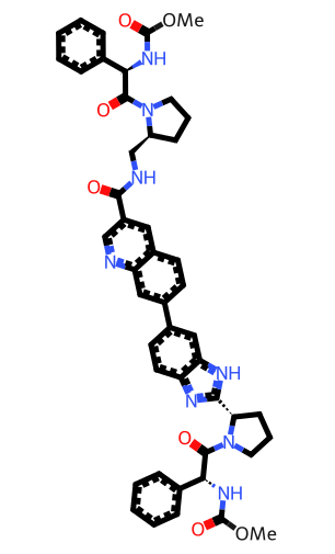 COC(=O)N[C@@H](C(=O)N1CCC[C@H]1CNC(=O)c1cnc2cc(-c3ccc4nc([C@@H]5CCCN5C(=O)[C@H](NC(=O)OC)c5ccccc5)[nH]c4c3)ccc2c1)c1ccccc1